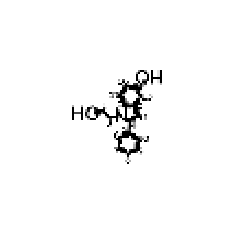 OCCn1c(-c2ccccc2)cc2cc(O)ccc21